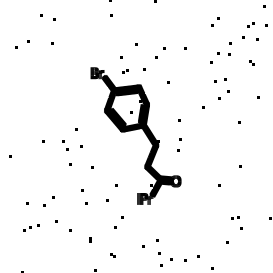 [CH2]C(C)C(=O)CCc1ccc(Br)cc1